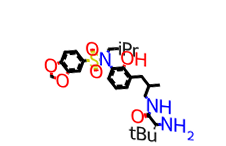 CC(C)CN(c1cccc(CC(C)CNC(=O)[C@H](N)C(C)(C)C)c1O)S(=O)(=O)c1ccc2c(c1)OCO2